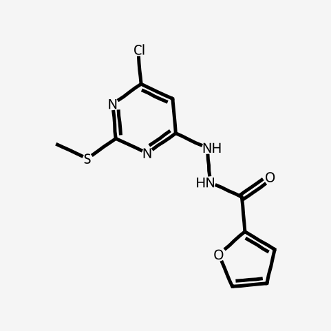 CSc1nc(Cl)cc(NNC(=O)c2ccco2)n1